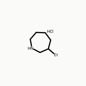 Cl.[CH2]CC1CCCCNC1